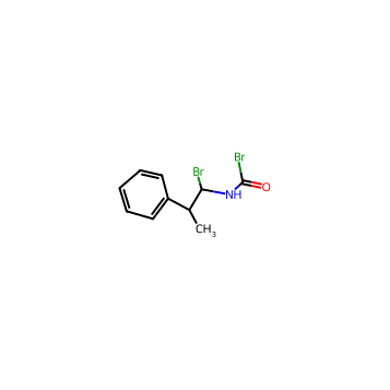 CC(c1ccccc1)C(Br)NC(=O)Br